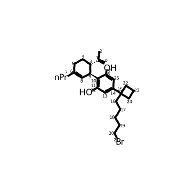 C=C(C)[C@H]1CCC(CCC)=C[C@@H]1c1c(O)cc(C2(CCCCCBr)CCC2)cc1O